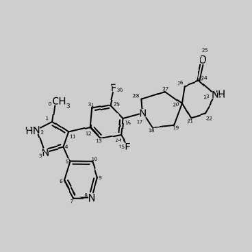 Cc1[nH]nc(-c2ccncc2)c1-c1cc(F)c(N2CCC3(CCNC(=O)C3)CC2)c(F)c1